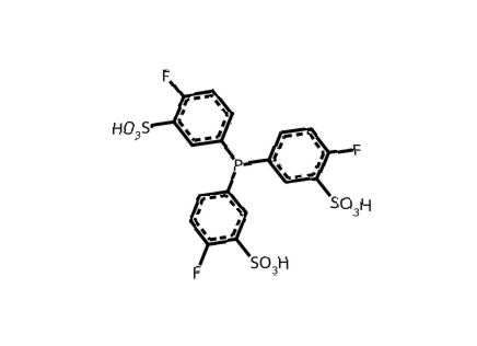 O=S(=O)(O)c1cc(P(c2ccc(F)c(S(=O)(=O)O)c2)c2ccc(F)c(S(=O)(=O)O)c2)ccc1F